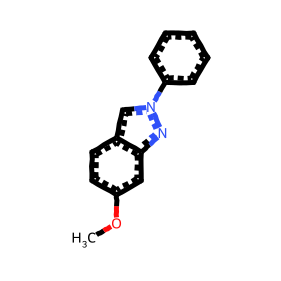 COc1ccc2cn(-c3ccccc3)nc2c1